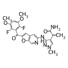 C=C(C(N)=O)c1cn(C)nc1Nc1cc2cc(C(=O)c3c(F)c(OC)cc(OC)c3F)oc2cn1